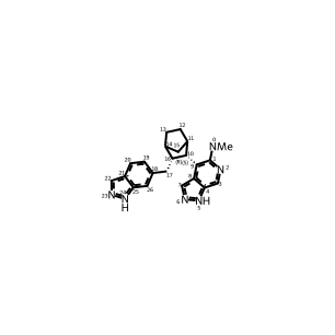 CNc1ncc2[nH]ncc2c1[C@H]1C2CCC(C2)[C@H]1Cc1ccc2cn[nH]c2c1